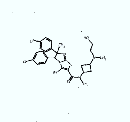 CC(C)C1=C(C(=O)N(C(C)C)C2CC(N(C)CCO)C2)SC2=N[C@@](C)(c3ccc(Cl)cc3)[C@@H](c3ccc(Cl)cc3)N21